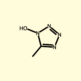 Cc1nnnn1O